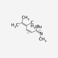 C/N=C(\C=C/C(C)=C(C)C)C(C)(C)C